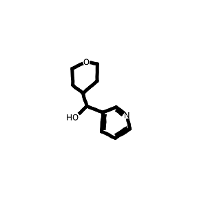 OC(c1cccnc1)C1CCOCC1